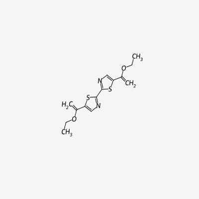 C=C(OCC)c1cnc(-c2ncc(C(=C)OCC)s2)s1